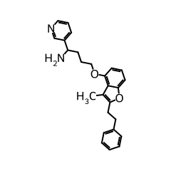 Cc1c(CCc2ccccc2)oc2cccc(OCCCC(N)c3cccnc3)c12